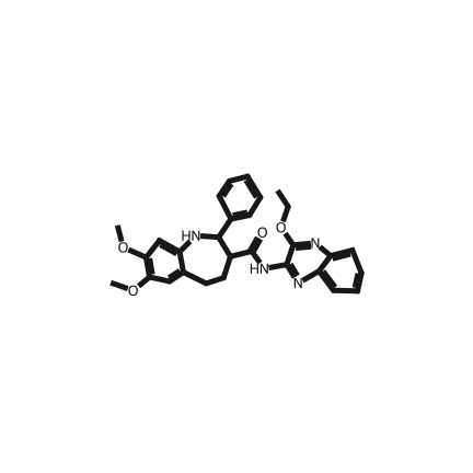 CCOc1nc2ccccc2nc1NC(=O)C1CCc2cc(OC)c(OC)cc2NC1c1ccccc1